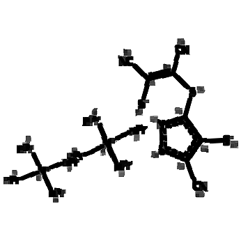 CCC[N+](CCC)(CCC)CCC.CCC[N+](CCC)(CCC)CCC.N#CC([S-])=C(C#N)Sc1nsc(C#N)c1[S-]